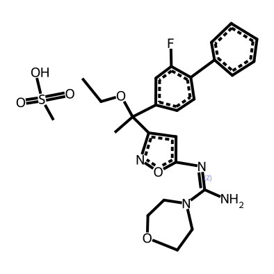 CCOC(C)(c1ccc(-c2ccccc2)c(F)c1)c1cc(/N=C(/N)N2CCOCC2)on1.CS(=O)(=O)O